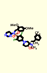 COc1ccc(CN(c2ccncn2)S(=O)(=O)c2c(F)cc(N3CC[C@@H](O)[C@](CCc4cccc(C(F)(F)F)c4)(N(C)C)C3)cc2F)c(OC)c1